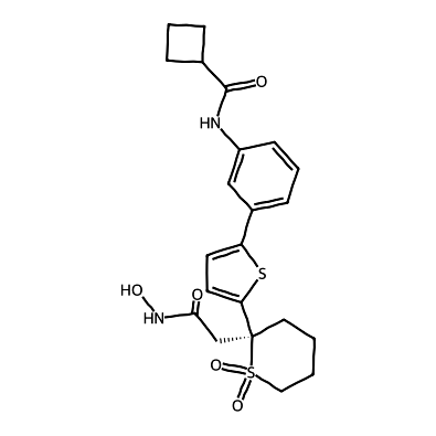 O=C(C[C@]1(c2ccc(-c3cccc(NC(=O)C4CCC4)c3)s2)CCCCS1(=O)=O)NO